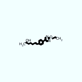 C=CCOc1ncc(-c2ccc(/C=C/CCCC(C)O)cc2)cn1